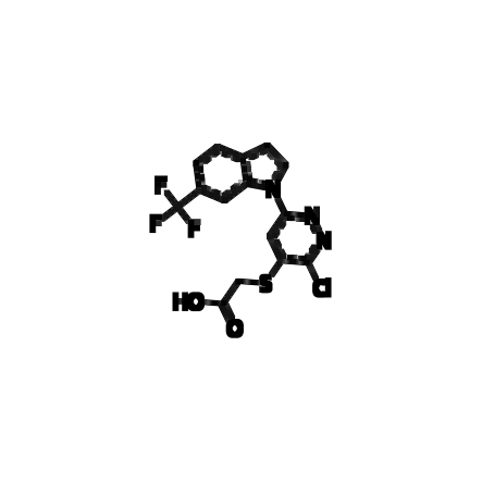 O=C(O)CSc1cc(-n2ccc3ccc(C(F)(F)F)cc32)nnc1Cl